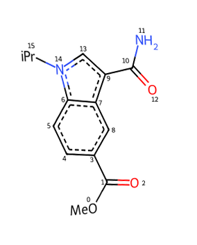 COC(=O)c1ccc2c(c1)c(C(N)=O)cn2C(C)C